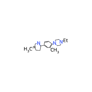 CCN1CCN(c2ccc(C3=NC[C@@H](C)CC3)cc2C)CC1